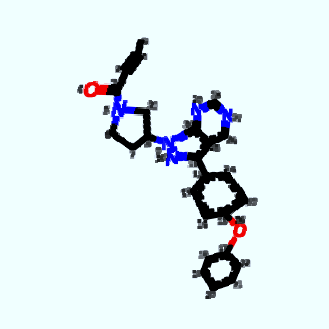 CC#CC(=O)N1CCC(n2nc(-c3ccc(Oc4ccccc4)cc3)c3cncnc32)C1